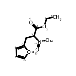 CCOC(=O)C(Cc1ccco1)[N+](=O)[O-]